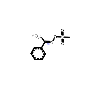 CS(=O)(=O)O/N=C(\C(=O)O)c1ccccc1